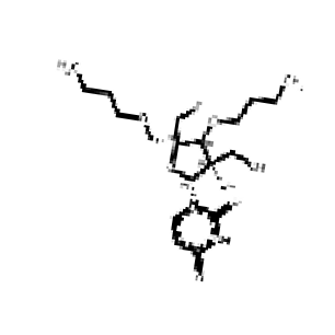 CCCCOC[C@@]1(CF)O[C@@H](n2ccc(=O)[nH]c2=O)[C@](O)(CO)[C@@H]1OCCCC